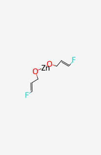 FC=CC[O][Zn][O]CC=CF